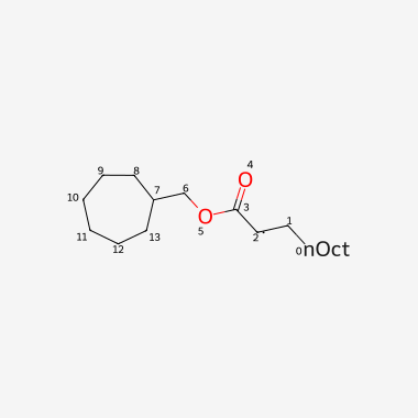 CCCCCCCCC[CH]C(=O)OCC1CCCCCC1